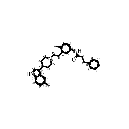 Cc1ccc(NC(=O)CCc2ccccc2)cc1CCN1CCC(c2c[nH]c3ccc(F)cc23)CC1